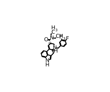 CCN(CC)C(=O)[C@H]1C=C2c3cccc4[nH]cc(c34)C[C@H]2N(Cc2ccc(F)c(F)c2)C1